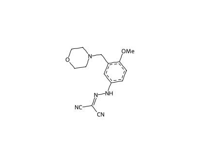 COc1ccc(NN=C(C#N)C#N)cc1CN1CCOCC1